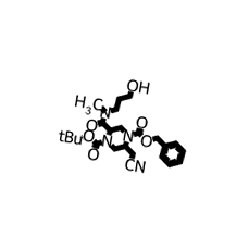 CN(CCCO)C(=O)C1CN(C(=O)OCc2ccccc2)C(CC#N)CN1C(=O)OC(C)(C)C